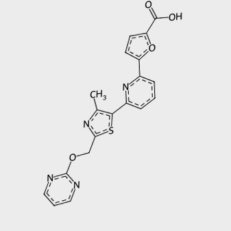 Cc1nc(COc2ncccn2)sc1-c1cccc(-c2ccc(C(=O)O)o2)n1